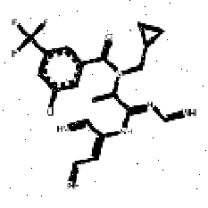 CC(/C(=N/C=N)N/C(C=N)=C/C=N)N(CC1CC1)C(=O)c1cc(Cl)cc(C(F)(F)F)c1